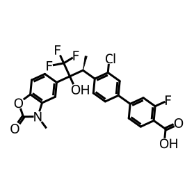 C[C@@H](c1ccc(-c2ccc(C(=O)O)c(F)c2)cc1Cl)C(O)(c1ccc2oc(=O)n(C)c2c1)C(F)(F)F